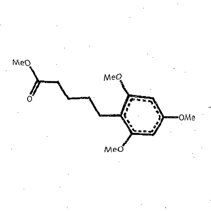 COC(=O)CCCCc1c(OC)cc(OC)cc1OC